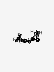 NNC(=S)OCc1ccccc1C1CC(c2csc(C3CCN(C(=O)Cn4nc(C(F)F)cc4C(F)F)CC3)n2)=NO1